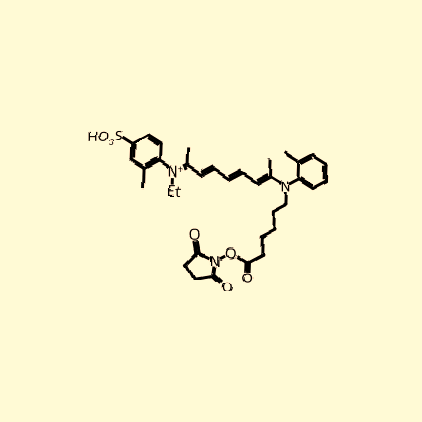 CC\[N+](=C(C)/C=C/C=C/C=C(\C)N(CCCCCC(=O)ON1C(=O)CCC1=O)c1ccccc1C)c1ccc(S(=O)(=O)O)cc1C